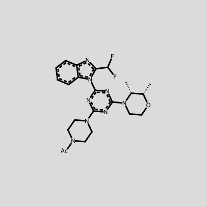 CC(=O)N1CCN(c2nc(N3CCO[C@@H](C)[C@H]3C)nc(-n3c(C(F)F)nc4ccccc43)n2)CC1